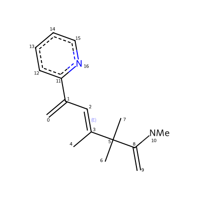 C=C(/C=C(\C)C(C)(C)C(=C)NC)c1ccccn1